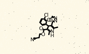 CC1=C(C(=O)OCCC#N)C(c2cccc(Cl)c2Cl)C(c2nnco2)=C(C)N1